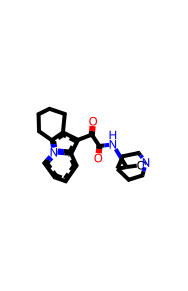 O=C(NC1CN2CCC1CC2)C(=O)c1c2c(n3ccccc13)CCCC2